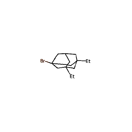 CCC12CC3CC(Br)(C1)CC(CC)(C3)C2